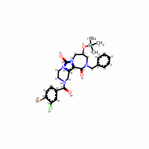 CC(C)(C)[Si](C)(C)OC1CN(Cc2ccccc2)C(=O)c2c3n(c(=O)n2C1)CCN(C(=O)c1ccc(Br)c(Cl)c1)C3